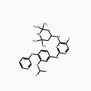 CC1(C)CC(Nc2nc(Nc3ccc(Oc4cccnc4)c(OC(F)F)c3)ncc2F)CC(C)(C)N1